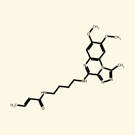 C/C=C/C(=O)NCCCCNc1nc2cc(OC)c(OC)cc2n2c(C)nnc12